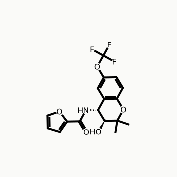 CC1(C)Oc2ccc(OC(F)(F)F)cc2[C@@H](NC(=O)c2ccco2)[C@@H]1O